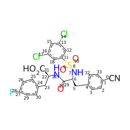 N#Cc1ccc(C[C@H](NS(=O)(=O)c2cc(Cl)cc(Cl)c2)C(=O)N[C@@H](Cc2ccc(F)cc2)C(=O)O)cc1